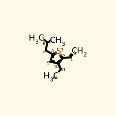 C=Cc1sc(CC(C)C)cc1CC